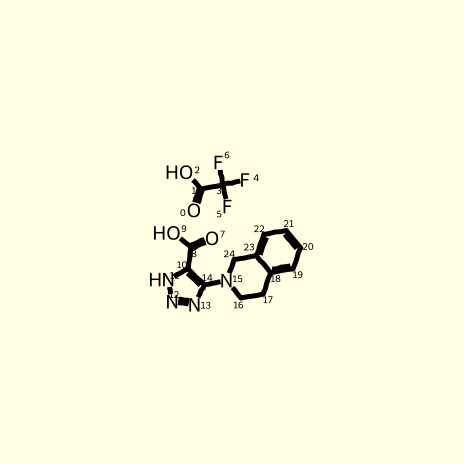 O=C(O)C(F)(F)F.O=C(O)c1[nH]nnc1N1CCc2ccccc2C1